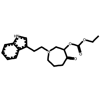 CCOC(=O)OC1CN(CCc2c[nH]c3ccccc23)CCCC1=O